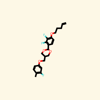 C=CCCCOc1ccc(C2OCC(COc3ccc(C)c(F)c3)CO2)c(F)c1F